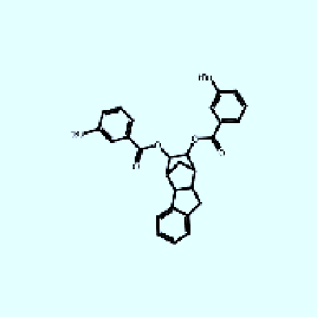 CC(C)(C)c1cccc(C(=O)OC2C3CC(C2OC(=O)c2cccc(C(C)(C)C)c2)C2c4ccccc4CC32)c1